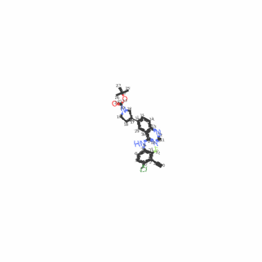 C#Cc1c(Cl)ccc(Nc2ncnc3ccc([C@H]4CCN(C(=O)OC(C)(C)C)C4)cc23)c1F